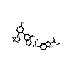 O=C(O)c1cc2cc(NC(=O)[C@@H]3CCc4cc(-c5cc(Cl)ccc5N5C=NNN5)cc(=O)n43)ccc2[nH]1